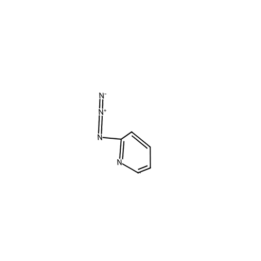 [N-]=[N+]=Nc1ccc[c]n1